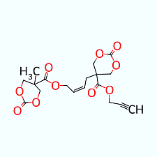 C#CCOC(=O)C1(C/C=C\COC(=O)C2(C)COC(=O)OC2)COC(=O)OC1